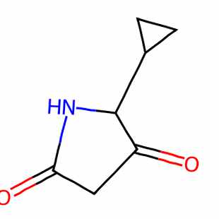 O=C1CC(=O)C(C2CC2)N1